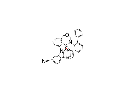 N#Cc1ccc2c3ccccc3n(-c3cccc4c3C(=O)N(c3c(-c5ccccc5)cccc3-c3ccccc3)COC4)c2c1